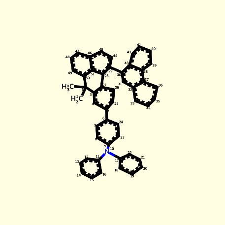 CC1(C)c2cc(-c3ccc(N(c4ccccc4)c4ccccc4)cc3)ccc2-c2c(-c3cc4ccccc4c4ccccc34)ccc3cccc1c23